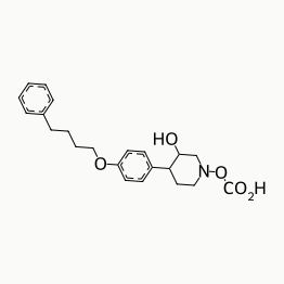 O=C(O)ON1CCC(c2ccc(OCCCCc3ccccc3)cc2)C(O)C1